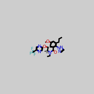 CCCc1cc(OC)cc(C(=O)N(CC)[C@@H](C)COc2cnc(C(F)(F)F)cn2)c1-n1nccn1